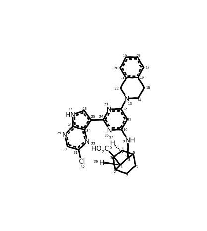 O=C(O)[C@H]1C2CCC(CC2)[C@@H]1Nc1cc(N2CCc3ccccc3C2)nc(-c2c[nH]c3ncc(Cl)nc23)n1